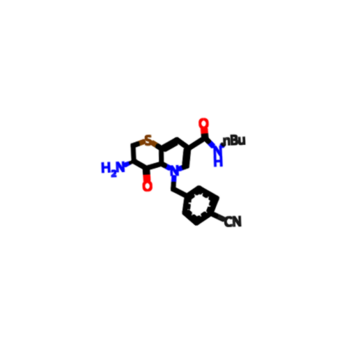 CCCCNC(=O)C1=CN(Cc2ccc(C#N)cc2)C2C(=O)[C@@H](N)CSC2=C1